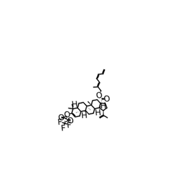 C=C/C=C\C=C(/C)COC(=O)[C@]12CC[C@@H](C(=C)C)[C@@H]1[C@H]1CC[C@@H]3[C@@]4(C)CC=C(OS(=O)(=O)C(F)(F)F)C(C)(C)[C@@H]4CC[C@@]3(C)[C@]1(C)CC2